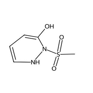 CS(=O)(=O)N1NC=CC=C1O